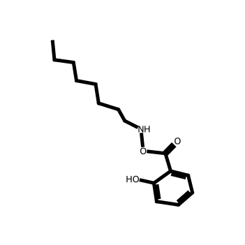 CCCCCCCCNOC(=O)c1ccccc1O